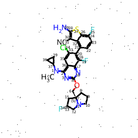 CN(c1nc(OC[C@@]23CCCN2C[C@H](F)C3)nc2c(F)c(-c3ccc(F)c4sc(N)c(C#N)c34)c(Cl)cc12)C1CC1